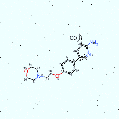 Nc1ncc(-c2ccc(OCCN3CCOCC3)cc2)cc1C(=O)O